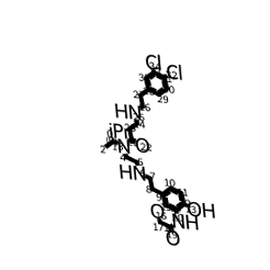 CC(C)[C@@H](C)N(CCNCCc1ccc(O)c2c1OCC(=O)N2)C(=O)CCNCCc1ccc(Cl)c(Cl)c1